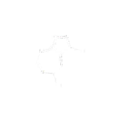 Cc1noc2c1=CC(C)N=CN=2